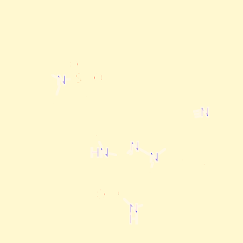 N#CCC(C1CC1)n1nc(Nc2ccc3c(c2)CN(Cc2ccccc2)S3(=O)=O)c2c(=O)[nH]ccc21